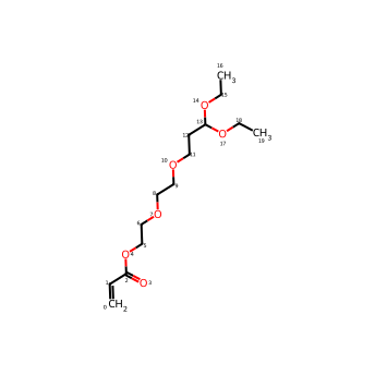 C=CC(=O)OCCOCCOCCC(OCC)OCC